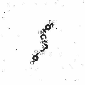 CC(C)(NC1CCN(S(=O)(=O)c2ccc(CCNC(=O)c3ccc(Cl)cc3)s2)CC1)c1ccc(C(F)(F)F)cc1